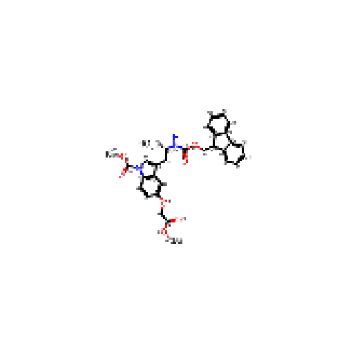 CC(C)(C)OC(=O)COc1ccc2c(c1)c(C[C@H](NC(=O)OCC1c3ccccc3-c3ccccc31)C(=O)O)cn2C(=O)OC(C)(C)C